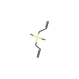 C=CCS(C)(C)CC=C